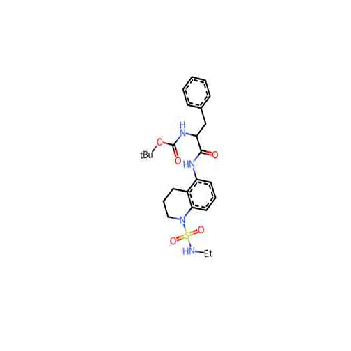 CCNS(=O)(=O)N1CCCc2c(NC(=O)C(Cc3ccccc3)NC(=O)OC(C)(C)C)cccc21